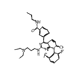 CCCNC(=O)c1cccc(-c2nc(NCCCN(CC)CC)nc3c2ccc(=O)n3-c2c(F)cccc2F)c1